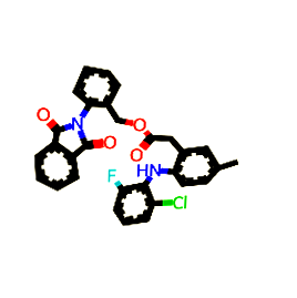 Cc1ccc(Nc2c(F)cccc2Cl)c(CC(=O)OCc2ccccc2N2C(=O)c3ccccc3C2=O)c1